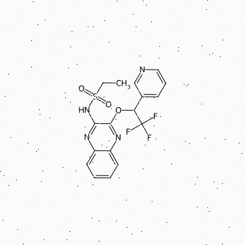 CCS(=O)(=O)Nc1nc2ccccc2nc1OC(c1cccnc1)C(F)(F)F